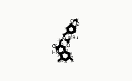 CCCCC(=O)N(Cc1ccc2c(c1)OCO2)Cc1cc2cc(C)cc(C)c2[nH]c1=O